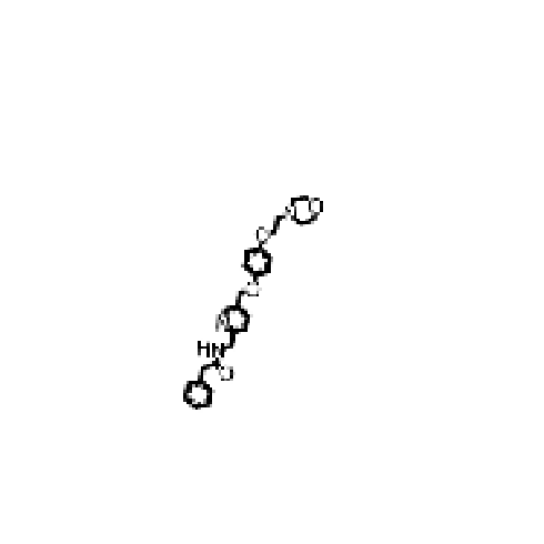 O=C(Cc1ccccc1)NCc1ccc(COc2ccc(OCCN3CCOCC3)cc2)cn1